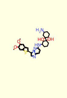 COc1cc2cc(-c3cnc4ccc(NC5CCCC(O)(C6(O)CCCC(N)C6)C5)nn34)sc2cc1OC